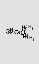 Cc1cc(-c2cn(C)nc2COc2ccc(-c3cn4c(n3)C=CCC4)cc2)ccn1